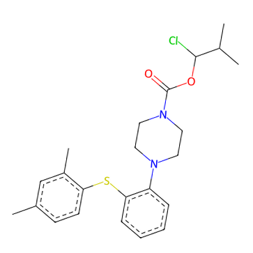 Cc1ccc(Sc2ccccc2N2CCN(C(=O)OC(Cl)C(C)C)CC2)c(C)c1